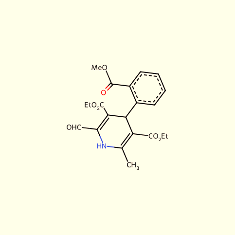 CCOC(=O)C1=C(C)NC(C=O)=C(C(=O)OCC)C1c1ccccc1C(=O)OC